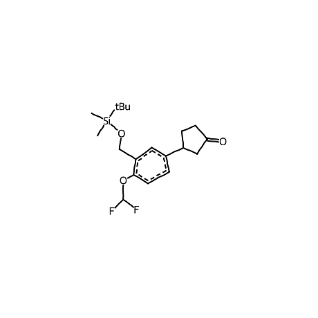 CC(C)(C)[Si](C)(C)OCc1cc(C2CCC(=O)C2)ccc1OC(F)F